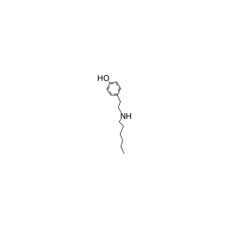 CCCCCCNCCc1ccc(O)cc1